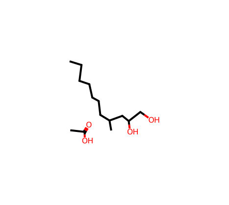 CC(=O)O.CCCCCCCC(C)CC(O)CO